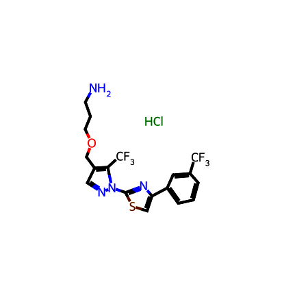 Cl.NCCCOCc1cnn(-c2nc(-c3cccc(C(F)(F)F)c3)cs2)c1C(F)(F)F